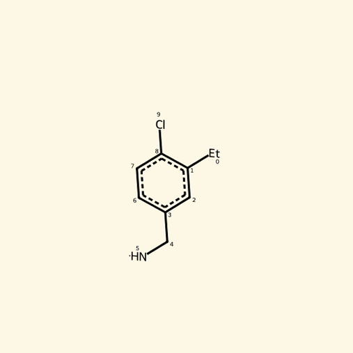 CCc1cc(C[NH])ccc1Cl